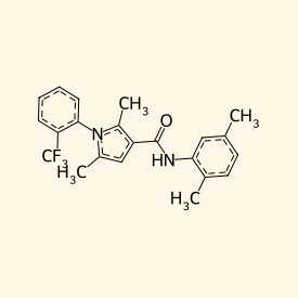 Cc1ccc(C)c(NC(=O)c2cc(C)n(-c3ccccc3C(F)(F)F)c2C)c1